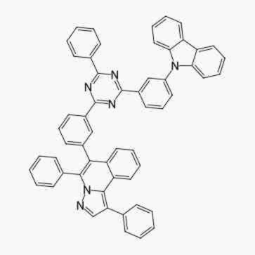 c1ccc(-c2nc(-c3cccc(-c4c(-c5ccccc5)n5ncc(-c6ccccc6)c5c5ccccc45)c3)nc(-c3cccc(-n4c5ccccc5c5ccccc54)c3)n2)cc1